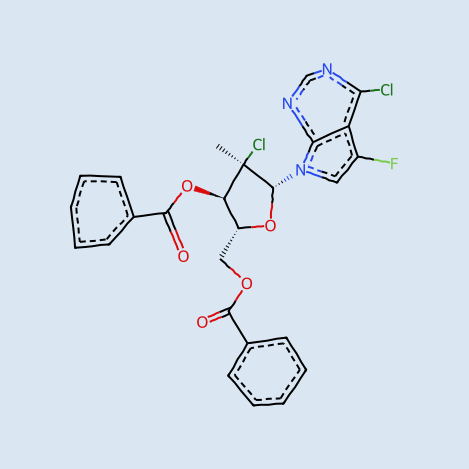 C[C@@]1(Cl)[C@H](OC(=O)c2ccccc2)[C@@H](COC(=O)c2ccccc2)O[C@H]1n1cc(F)c2c(Cl)ncnc21